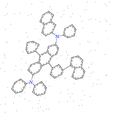 c1ccc(-c2c3ccc(N(c4ccccc4)c4ccccc4)cc3c(-c3cccc(-c4cccc5ccccc45)c3)c3ccc(N(c4ccccc4)c4ccc5ccccc5c4)cc23)cc1